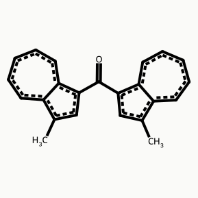 Cc1cc(C(=O)c2cc(C)c3cccccc2-3)c2cccccc1-2